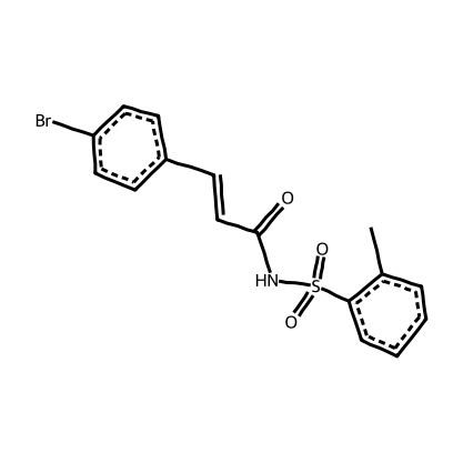 Cc1ccccc1S(=O)(=O)NC(=O)C=Cc1ccc(Br)cc1